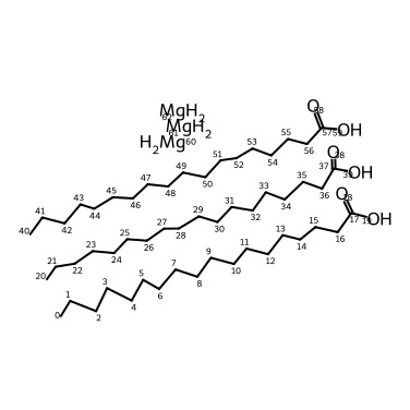 CCCCCCCCCCCCCCCCCC(=O)O.CCCCCCCCCCCCCCCCCC(=O)O.CCCCCCCCCCCCCCCCCC(=O)O.[MgH2].[MgH2].[MgH2]